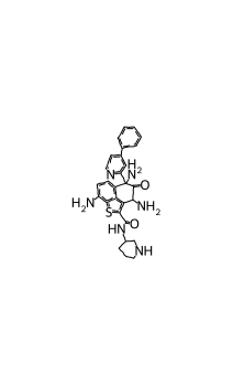 Nc1ccc2c3c(c(C(=O)NC4CCCNC4)sc13)C(N)C(=O)C2(N)c1cc(-c2ccccc2)ccn1